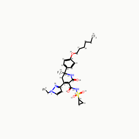 CC(C)Cn1ccc(C2=C(C(=O)NS(=O)(=O)C3CC3)C(=O)NC(c3ccc(OCCCCCC(F)(F)F)cc3)(C(F)(F)F)C2)n1